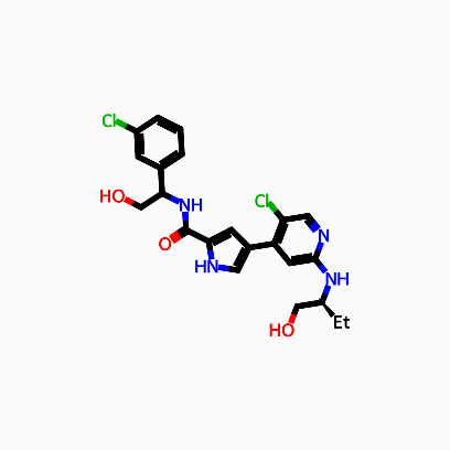 CC[C@@H](CO)Nc1cc(-c2c[nH]c(C(=O)NC(CO)c3cccc(Cl)c3)c2)c(Cl)cn1